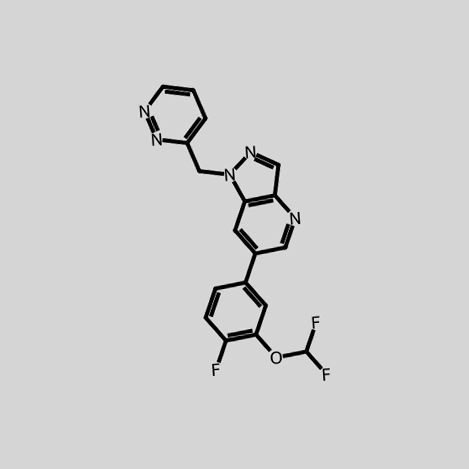 Fc1ccc(-c2cnc3cnn(Cc4cccnn4)c3c2)cc1OC(F)F